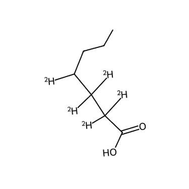 [2H]C(CCC)C([2H])([2H])C([2H])([2H])C(=O)O